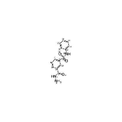 NNC(=O)c1cccc(S(=O)(=O)Nc2ccccc2)c1